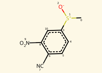 C[S+]([O-])c1ccc(C#N)c([N+](=O)[O-])c1